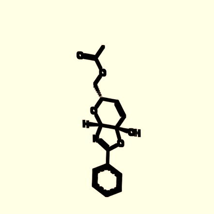 CC(=O)OC[C@@H]1C=C[C@]2(O)OC(c3ccccc3)=N[C@@H]2O1